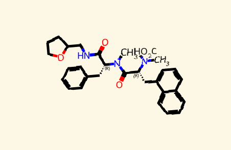 CN(C(=O)O)[C@H](Cc1cccc2ccccc12)C(=O)N(C)[C@H](Cc1ccccc1)C(=O)NCC1CCCO1